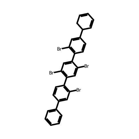 Brc1cc(-c2ccccc2)ccc1-c1cc(Br)c(-c2ccc(C3C=CC=CC3)cc2Br)cc1Br